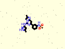 Cc1cn2c(Nc3cc(C)[nH]n3)nc(-c3cccc(NS(C)(=O)=O)c3)cc2n1